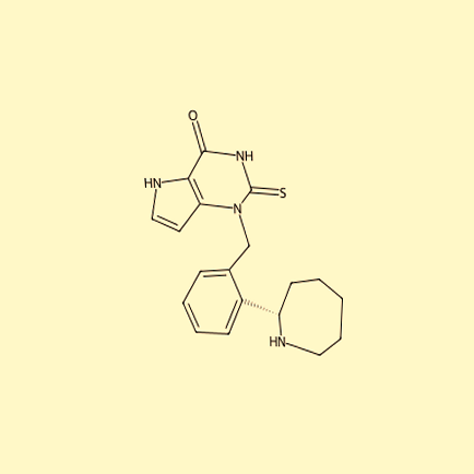 O=c1[nH]c(=S)n(Cc2ccccc2[C@@H]2CCCCCN2)c2cc[nH]c12